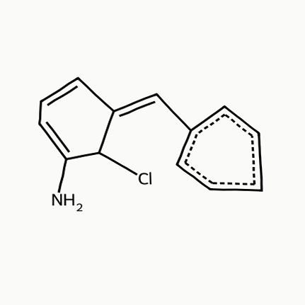 NC1=CC=CC(=Cc2ccccc2)C1Cl